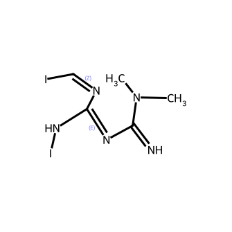 CN(C)C(=N)/N=C(\N=C/I)NI